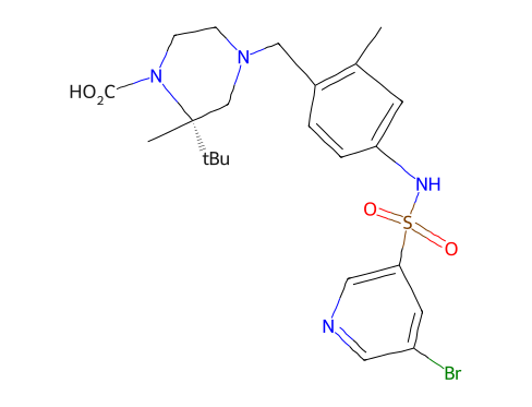 Cc1cc(NS(=O)(=O)c2cncc(Br)c2)ccc1CN1CCN(C(=O)O)[C@@](C)(C(C)(C)C)C1